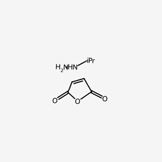 CC(C)NN.O=C1C=CC(=O)O1